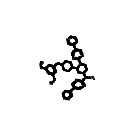 CC(C)Oc1cc(CN2CCC(C3CC(N(N)c4ncc(-c5cccnc5)cn4)CCN3c3ncc(-c4cccnc4)cn3)CC2)cc(OC(C)C)c1